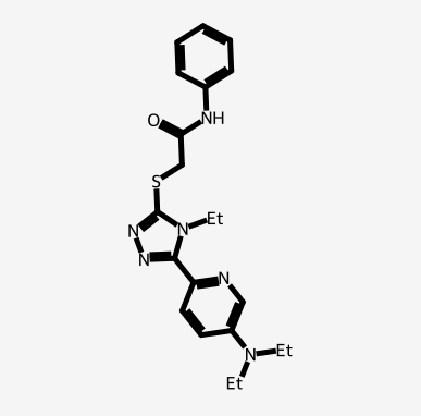 CCN(CC)c1ccc(-c2nnc(SCC(=O)Nc3ccccc3)n2CC)nc1